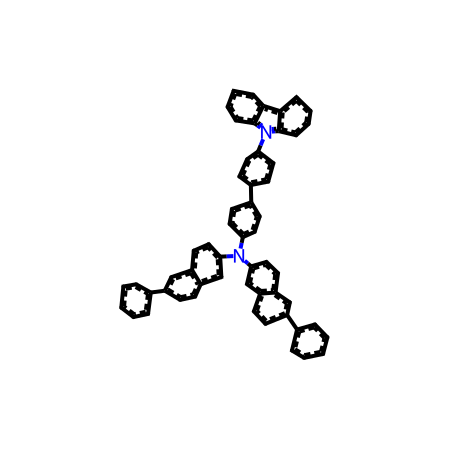 c1ccc(-c2ccc3cc(N(c4ccc(-c5ccc(-n6c7ccccc7c7ccccc76)cc5)cc4)c4ccc5cc(-c6ccccc6)ccc5c4)ccc3c2)cc1